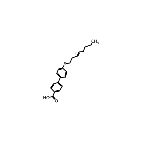 CCCC/C=C/CCSc1ccc(-c2ccc(C(=O)O)cc2)cc1